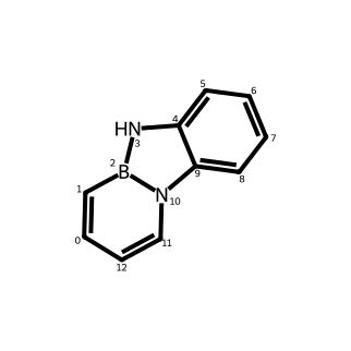 C1=CB2Nc3ccccc3N2C=C1